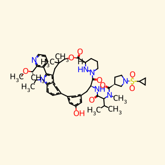 CCn1c(-c2cccnc2[C@H](C)OC)c2c3cc(ccc31)-c1cc(O)cc(c1)C[C@H](NC(=O)C(C(C)C)N(C)C(=O)[C@H]1CCN(S(=O)(=O)C3CC3)C1)C(=O)N1CCC[C@H](N1)C(=O)OCC(C)(C)C2